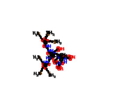 BSCCCCOc1cc(C(=O)NCCCNC(=O)c2cc(C(=O)NCCCNC(=O)c3cc(OCCCCSB)c(OCCCCSB)c(OCCCCSB)c3)c3c(c2)N(CCCS(=O)(=O)O)/C(=C/C=C/C2=[N+](CCCS(=O)(=O)O)c4cc(C(=O)NCCS(=O)(=O)O)cc(C(=O)NCCS(=O)(=O)O)c4C2(C)C)C3(C)C)cc(OCCCCSB)c1OCCCCSB